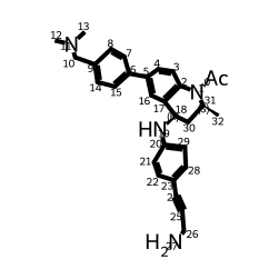 CC(=O)N1c2ccc(-c3ccc(CN(C)C)cc3)cc2[C@H](Nc2ccc(C#CCN)cc2)C[C@@H]1C